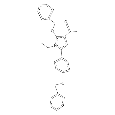 CCn1c(-c2ccc(OCc3ccccc3)cc2)cc(C(C)=O)c1OCc1ccccc1